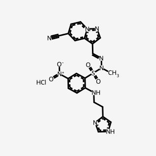 CN(N=Cc1cnn2ccc(C#N)cc12)S(=O)(=O)c1cc([N+](=O)[O-])ccc1NCCc1c[nH]cn1.Cl